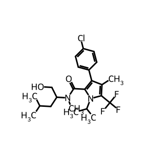 Cc1c(-c2ccc(Cl)cc2)c(C(=O)N(C)C(CO)CC(C)C)n(C(C)C)c1C(F)(F)F